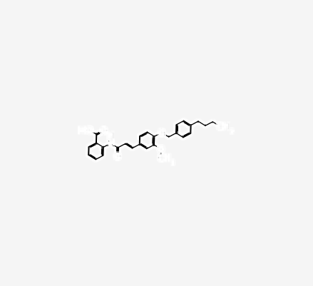 CCCCc1ccc(COc2ccc(/C=C/C(=O)Nc3ccccc3C(=O)O)cc2OC)cc1